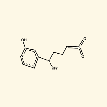 CCCN(CCC=S(=O)=O)c1cccc(O)c1